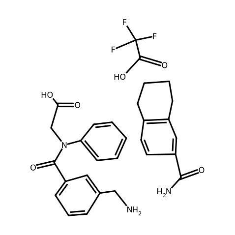 NC(=O)c1ccc2c(c1)CCCC2.NCc1cccc(C(=O)N(CC(=O)O)c2ccccc2)c1.O=C(O)C(F)(F)F